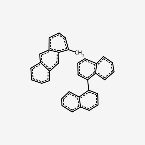 Cc1cccc2cc3ccccc3cc12.c1ccc2c(-c3cccc4ccccc34)cccc2c1